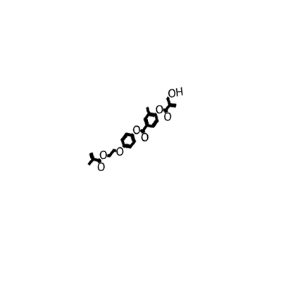 C=C(C)C(=O)OCCOc1ccc(OC(=O)c2ccc(OC(=O)C(=C)CO)c(C)c2)cc1